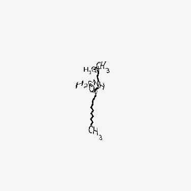 CCCCCCCCCCC[C@H](CNCCCN(C)C)OC